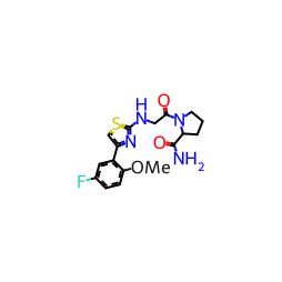 COc1ccc(F)cc1-c1csc(NCC(=O)N2CCCC2C(N)=O)n1